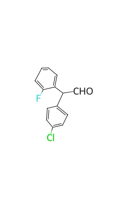 O=CC(c1ccc(Cl)cc1)c1ccccc1F